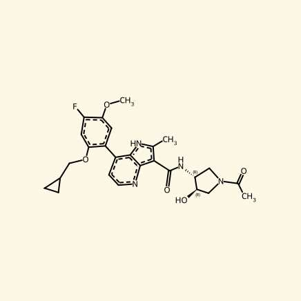 COc1cc(-c2ccnc3c(C(=O)N[C@@H]4CN(C(C)=O)C[C@H]4O)c(C)[nH]c23)c(OCC2CC2)cc1F